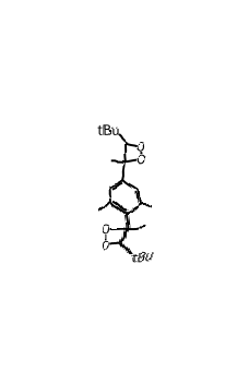 Cc1cc(C2(C)OOC2C(C)(C)C)cc(C)c1C1(C)OOC1C(C)(C)C